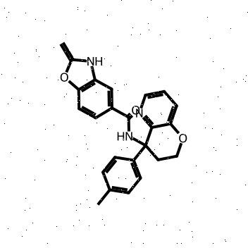 C=C1Nc2cc(C(=O)NC3(c4ccc(C)cc4)CCOc4cccnc43)ccc2O1